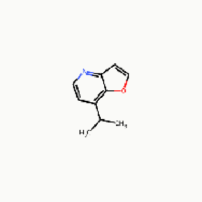 CC(C)c1ccnc2ccoc12